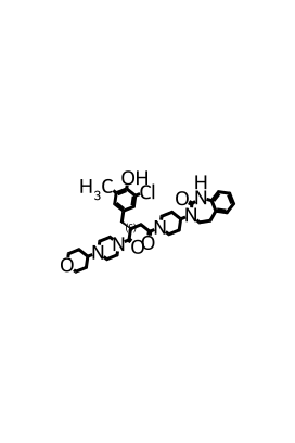 Cc1cc(C[C@@H](CC(=O)N2CCC(N3CCc4ccccc4NC3=O)CC2)C(=O)N2CCN(C3CCOCC3)CC2)cc(Cl)c1O